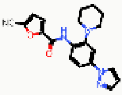 N#Cc1ccc(C(=O)Nc2ccc(-n3cccn3)cc2N2CCCCC2)o1